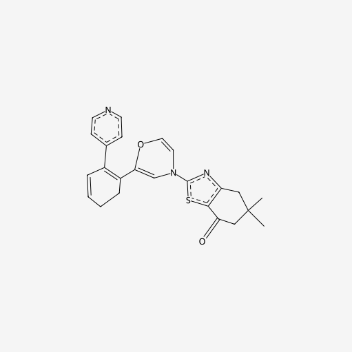 CC1(C)CC(=O)c2sc(N3C=COC(C4=C(c5ccncc5)C=CCC4)=C3)nc2C1